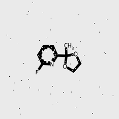 CC1(c2cccc(F)n2)OCCO1